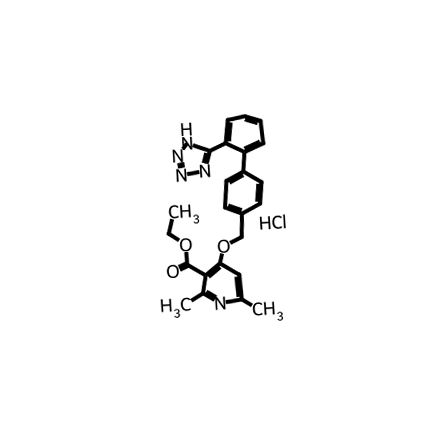 CCOC(=O)c1c(OCc2ccc(-c3ccccc3-c3nnn[nH]3)cc2)cc(C)nc1C.Cl